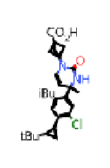 CC[C@H](C)C1=CN(C23CC(C(=O)O)(C2)C3)C(=O)NC1(C)c1ccc(C2CC2C(C)(C)C)c(Cl)c1